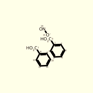 O=C(O)c1ccccc1.O=C(O)c1ccccc1.O=[NH+][O-]